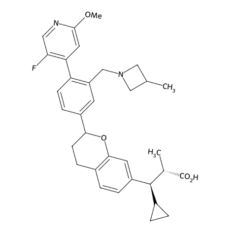 COc1cc(-c2ccc(C3CCc4ccc([C@H](C5CC5)[C@H](C)C(=O)O)cc4O3)cc2CN2CC(C)C2)c(F)cn1